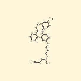 C#CCCN(CCC)CCCCOc1ccc(C2c3ccc(O)cc3OCC2c2ccccc2)cc1